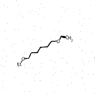 C=COCCCCCCOCC